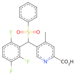 Cc1cc(C(=O)O)ncc1C(c1c(F)ccc(F)c1F)S(=O)(=O)c1ccccc1